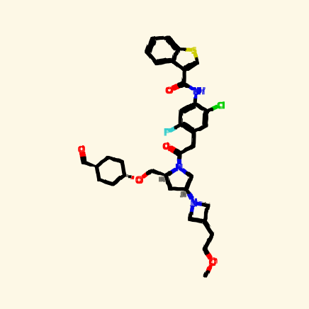 COCCC1CN([C@H]2C[C@@H](CO[C@H]3CC[C@H](C=O)CC3)N(C(=O)Cc3cc(Cl)c(NC(=O)c4csc5ccccc45)cc3F)C2)C1